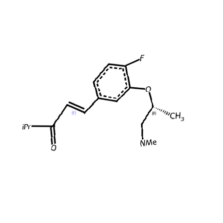 CNC[C@@H](C)Oc1cc(/C=C/C(=O)C(C)C)ccc1F